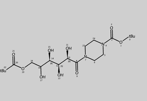 CC(C)(C)OC(=O)N1CCN(C(=O)[C@H](O)[C@@H](O)[C@H](O)C(O)COC(=O)C(C)(C)C)CC1